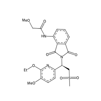 CCOc1nc([C@H](CS(C)(=O)=O)N2C(=O)c3cccc(NC(=O)COC)c3C2=O)ccc1OC